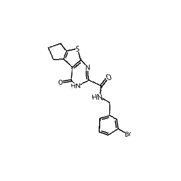 O=C(NCc1cccc(Br)c1)c1nc2sc3c(c2c(=O)[nH]1)CCC3